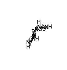 CNc1nc(CC(=O)Nc2ccc([C@H]3CCC[C@H](c4ccc(NC(=O)Cc5csc(NC)n5)nn4)C3)nn2)cs1